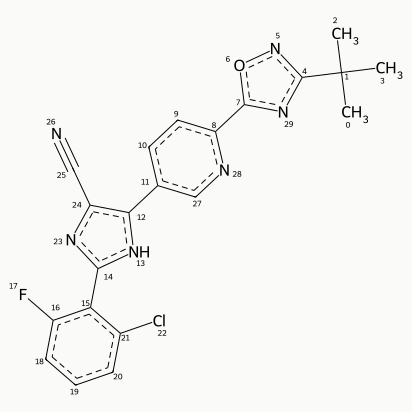 CC(C)(C)c1noc(-c2ccc(-c3[nH]c(-c4c(F)cccc4Cl)nc3C#N)cn2)n1